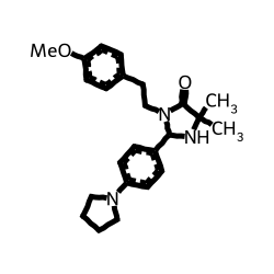 COc1ccc(CCN2C(=O)C(C)(C)NC2c2ccc(N3CCCC3)cc2)cc1